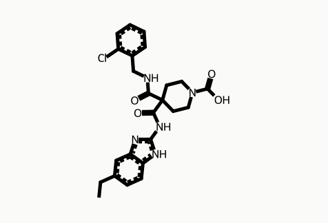 CCc1ccc2[nH]c(NC(=O)C3(C(=O)NCc4ccccc4Cl)CCN(C(=O)O)CC3)nc2c1